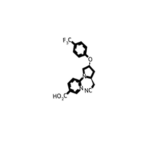 N#CC[C@@H]1C[C@@H](Oc2ccc(C(F)(F)F)cc2)CN1c1ccc(C(=O)O)cn1